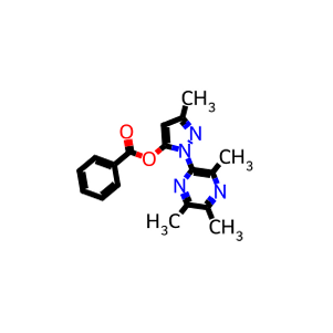 Cc1cc(OC(=O)c2ccccc2)n(-c2nc(C)c(C)nc2C)n1